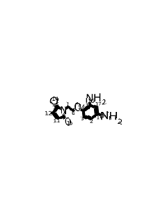 Nc1ccc(OCCN2C(=O)C=CC2=O)c(N)c1